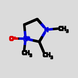 CC1N(C)CC[N+]1(C)[O-]